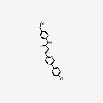 O=C(/C=C/c1ccc(-c2ccc(Cl)cc2)cn1)Nc1ccc(CO)cc1